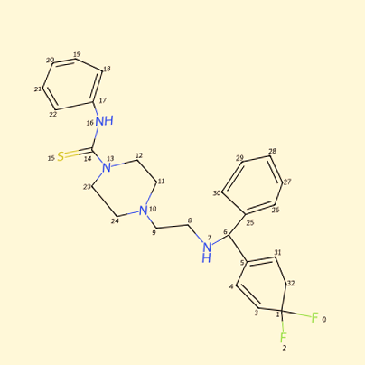 FC1(F)C=CC(C(NCCN2CCN(C(=S)Nc3ccccc3)CC2)c2ccccc2)=CC1